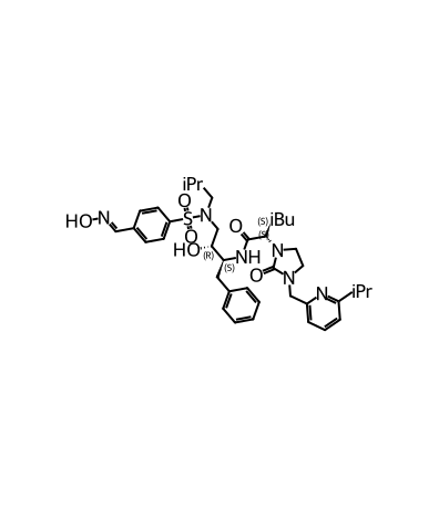 CC[C@H](C)[C@@H](C(=O)N[C@@H](Cc1ccccc1)[C@H](O)CN(CC(C)C)S(=O)(=O)c1ccc(C=NO)cc1)N1CCN(Cc2cccc(C(C)C)n2)C1=O